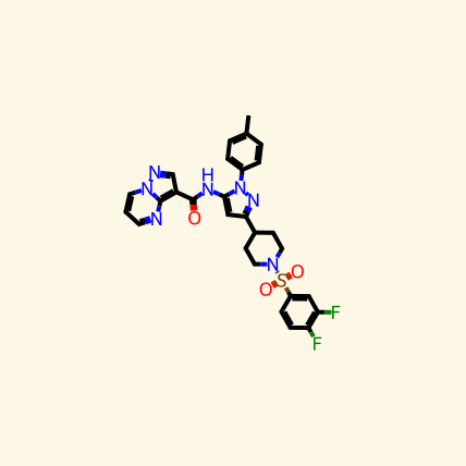 Cc1ccc(-n2nc(C3CCN(S(=O)(=O)c4ccc(F)c(F)c4)CC3)cc2NC(=O)c2cnn3cccnc23)cc1